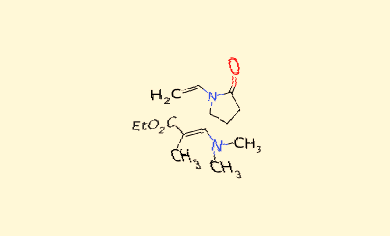 C=CN1CCCC1=O.CCOC(=O)C(C)=CN(C)C